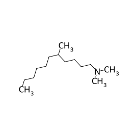 CCCCCCC(C)CCCCN(C)C